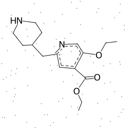 CCOC(=O)c1cc(CC2CCNCC2)ncc1OCC